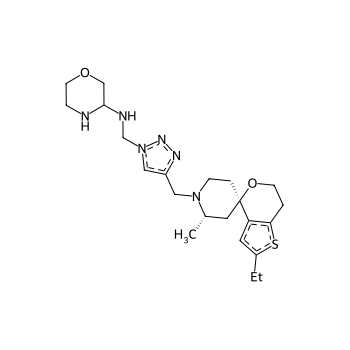 CCc1cc2c(s1)CCO[C@@]21CCN(Cc2cn(CNC3COCCN3)nn2)[C@@H](C)C1